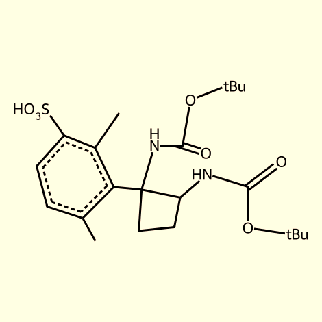 Cc1ccc(S(=O)(=O)O)c(C)c1C1(NC(=O)OC(C)(C)C)CCC1NC(=O)OC(C)(C)C